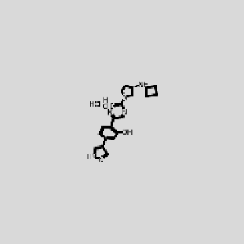 Cl.Cl.Oc1cc(-c2cn[nH]c2)ccc1-c1cnc(N2CC[C@@H](NC3CCC3)C2)nn1